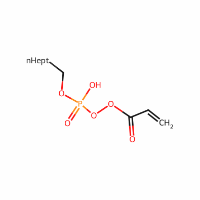 C=CC(=O)OOP(=O)(O)OCCCCCCCC